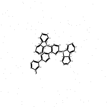 Cc1cccc(-c2ccc(-c3cc(-n4c5ccccc5c5ccccc54)ccc3-n3c4ccccc4c4ccccc43)cc2)c1